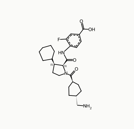 NC[C@H]1CC[C@H](C(=O)N2CC[C@@H](C3CCCCC3)[C@H]2C(=O)Nc2ccc(C(=O)O)cc2F)CC1